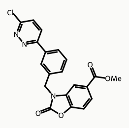 COC(=O)c1ccc2oc(=O)n(Cc3cccc(-c4ccc(Cl)nn4)c3)c2c1